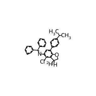 [2H]C1([2H])COc2c(-c3ccc(C(C)C)cc3)cc(N=C(c3ccccc3)c3ccccc3)c(Cl)c21